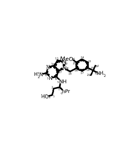 CCCC(CCO)Nc1nc(N)nc2cnn(Cc3cc(C(C)(C)N)ccc3OC)c12